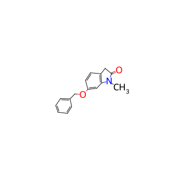 CN1C(=O)Cc2ccc(OCc3ccccc3)cc21